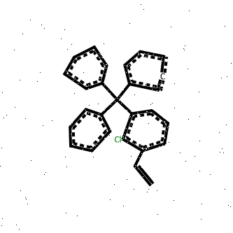 C=Cc1cccc(C(c2ccccc2)(c2ccccc2)c2ccccc2)c1Cl